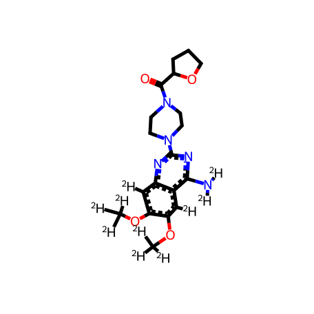 [2H]c1c(OC([2H])([2H])[2H])c(OC([2H])([2H])[2H])c([2H])c2c(N([2H])[2H])nc(N3CCN(C(=O)C4CCCO4)CC3)nc12